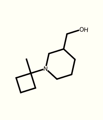 CC1(N2CCCC(CO)C2)CCC1